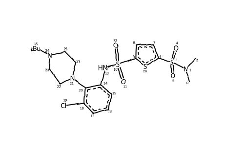 CN(C)S(=O)(=O)c1ccc(S(=O)(=O)Nc2cccc(Cl)c2N2CCN(C(C)(C)C)CC2)s1